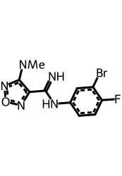 CNc1nonc1C(=N)Nc1ccc(F)c(Br)c1